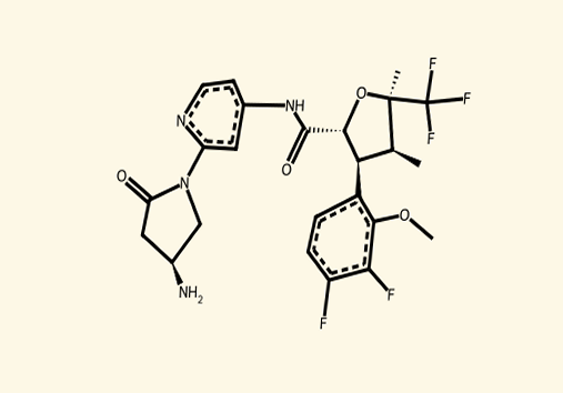 COc1c([C@H]2[C@H](C(=O)Nc3ccnc(N4C[C@@H](N)CC4=O)c3)O[C@@](C)(C(F)(F)F)[C@H]2C)ccc(F)c1F